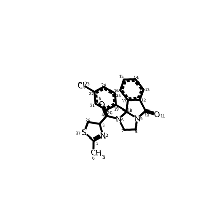 CC1=NC(C(=O)N2CCN3C(=O)c4ccccc4C32c2ccc(Cl)cc2)CS1